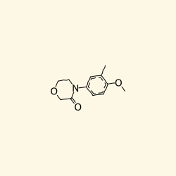 COc1ccc(N2CCOCC2=O)cc1C